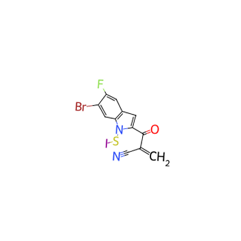 C=C(C#N)C(=O)c1cc2cc(F)c(Br)cc2n1SI